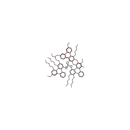 CCCCCc1ccccc1-c1c(OP(Oc2cc(CCCCC)c(CCCCC)c(-c3ccccc3CCCCC)c2-c2ccccc2CCCCC)Oc2cc(CCCCC)c(CCCCC)c(-c3ccccc3CCCCC)c2-c2ccccc2CCCCC)cc(CCCCC)c(CCCCC)c1-c1ccccc1CCCCC